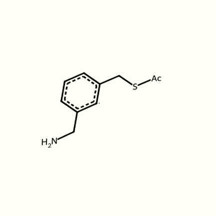 CC(=O)SCc1[c]c(CN)ccc1